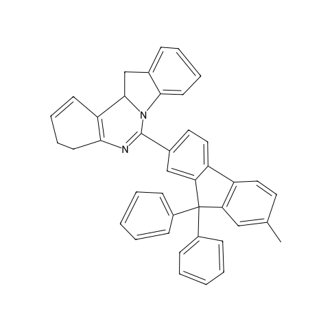 Cc1ccc2c(c1)C(c1ccccc1)(c1ccccc1)c1cc(C3=NC4=C(C=CCC4)C4Cc5ccccc5N34)ccc1-2